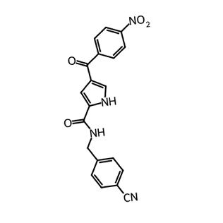 N#Cc1ccc(CNC(=O)c2cc(C(=O)c3ccc([N+](=O)[O-])cc3)c[nH]2)cc1